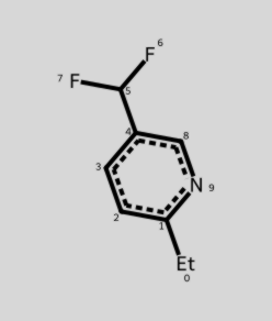 CCc1ccc(C(F)F)cn1